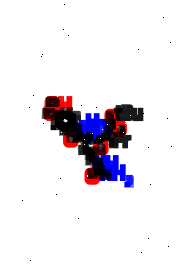 CC(C)[C@H](NC(=O)OC(C)(C)C)C(=O)N[C@@H](CCCNC(N)=O)C(=O)Nc1ccc(OO)cc1